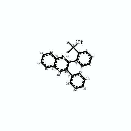 CCC(C)(C)c1ccccc1-c1nc2ccccc2nc1-c1ccccc1